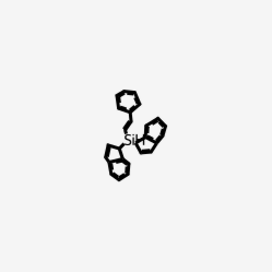 C(=C[SiH](C1C=Cc2ccccc21)C1C=Cc2ccccc21)c1ccccc1